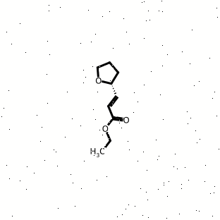 CCOC(=O)/C=C/[C@H]1CCCO1